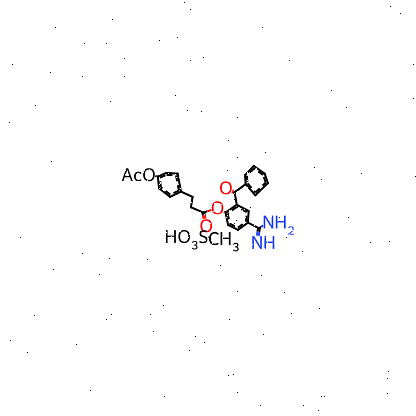 CC(=O)Oc1ccc(CCC(=O)Oc2ccc(C(=N)N)cc2C(=O)c2ccccc2)cc1.CS(=O)(=O)O